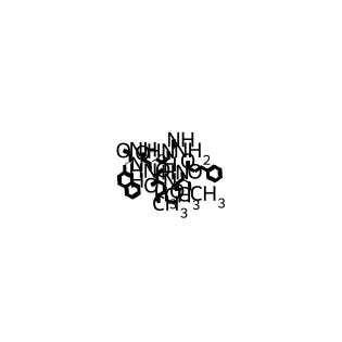 CC[C@H](C)C(NC(=O)[C@H](CC(C)C)NC(=O)OCc1ccccc1)C(=O)C(=O)N[C@@H](CCCNC(=N)N)C(=O)N[C@H](Cc1ccc2ccccc2c1)C(N)=O